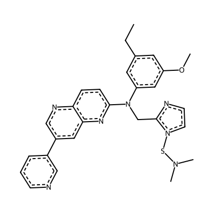 CCc1cc(OC)cc(N(Cc2nccn2SN(C)C)c2ccc3ncc(-c4cccnc4)cc3n2)c1